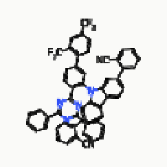 N#Cc1ccccc1-c1ccc2c3ccc(-c4ccccc4C#N)cc3n(-c3cc(-c4ccc(C(F)(F)F)cc4C(F)(F)F)ccc3-c3nc(-c4ccccc4)nc(-c4ccccc4)n3)c2c1